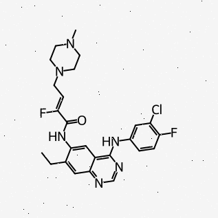 CCc1cc2ncnc(Nc3ccc(F)c(Cl)c3)c2cc1NC(=O)C(F)=CCN1CCN(C)CC1